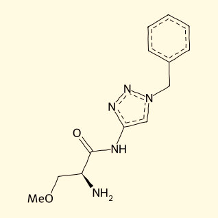 COC[C@H](N)C(=O)Nc1cn(Cc2ccccc2)nn1